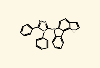 c1ccc(-c2nnc(-n3c4ccccc4c4c5occc5ccc43)n2-c2ccccc2)cc1